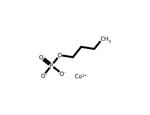 CCCCOP(=O)([O-])[O-].[Co+2]